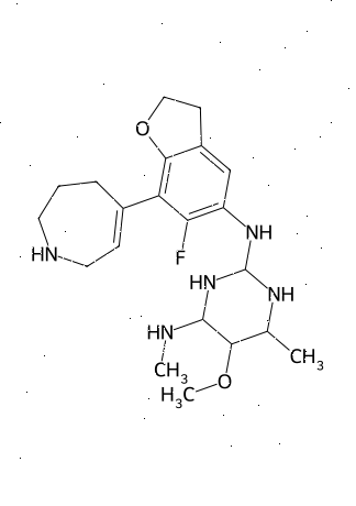 CNC1NC(Nc2cc3c(c(C4=CCNCCC4)c2F)OCC3)NC(C)C1OC